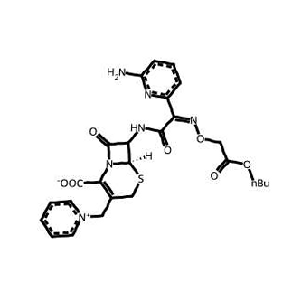 CCCCOC(=O)CO/N=C(\C(=O)NC1C(=O)N2C(C(=O)[O-])=C(C[n+]3ccccc3)CS[C@H]12)c1cccc(N)n1